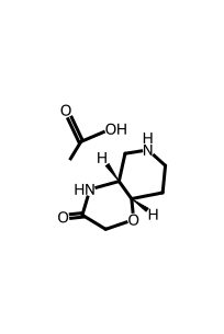 CC(=O)O.O=C1CO[C@H]2CCNC[C@H]2N1